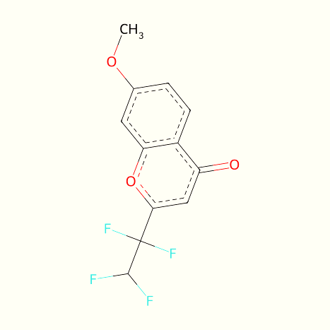 COc1ccc2c(=O)cc(C(F)(F)C(F)F)oc2c1